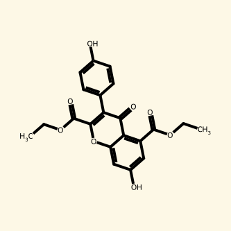 CCOC(=O)c1oc2cc(O)cc(C(=O)OCC)c2c(=O)c1-c1ccc(O)cc1